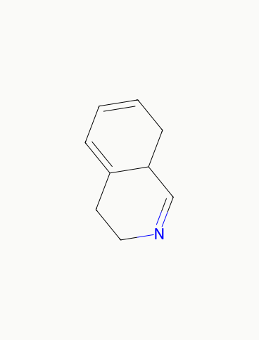 C1=CCC2C=NCCC2=C1